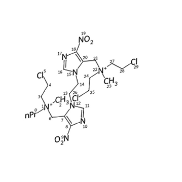 CCC[N+](C)(CCCl)Cc1c([N+](=O)[O-])ncn1CCn1cnc([N+](=O)[O-])c1C[N+](C)(CCCl)CCCl